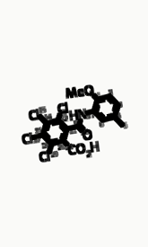 COc1ccc(C)cc1NC(=O)c1c(Cl)c(Cl)c(Cl)c(Cl)c1C(=O)O